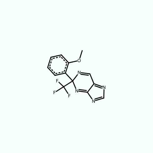 COc1ccccc1C1(C(F)(F)F)N=CC2=NC=NC2=N1